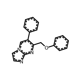 c1ccc(OCc2nc3nccn3cc2-c2ccccc2)cc1